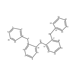 c1ccc(Cc2ccccc2Sc2ccccc2Cc2ccccc2)cc1